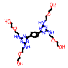 OCCOCCNc1nc(NCCOCCO)nc(C2CC3CC2CC3c2nc(NCCOCCO)nc(NCCOCCO)n2)n1